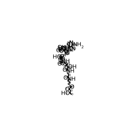 CC(O)CC(=O)C(=O)SCCNC(=O)CCNC(=O)C(O)C(C)(C)COP(=O)(O)OP(=O)(O)OC[C@H]1O[C@@H](n2cnc3c(N)ncnc32)[C@H](O)[C@@H]1OP(=O)(O)O